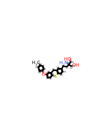 Cc1ccc(Oc2ccc3c(c2)Cc2cc(CCC(N)(CO)CO)ccc2S3)cc1